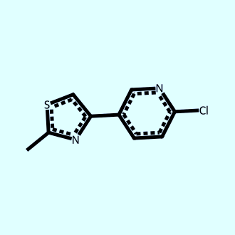 Cc1nc(-c2ccc(Cl)nc2)cs1